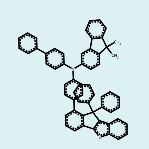 CC1(C)c2ccccc2-c2cc(N(c3ccc(-c4ccccc4)cc3)c3ccc(-c4cccc5c4C(c4ccccc4)(c4ccccc4)c4c-5sc5ccccc45)cc3)ccc21